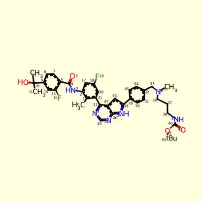 Cc1c(NC(=O)c2ccc(C(C)(C)O)cc2F)cc(F)cc1-c1ncnc2[nH]c(-c3ccc(CN(C)CCCNC(=O)OC(C)(C)C)cc3)cc12